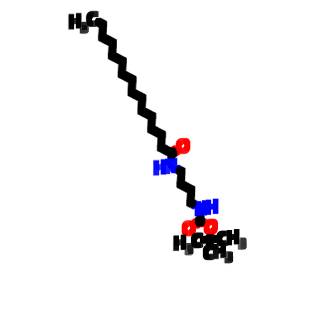 CCCCCCCCCCCCCCCC(=O)NCCCCNC(=O)OC(C)(C)C